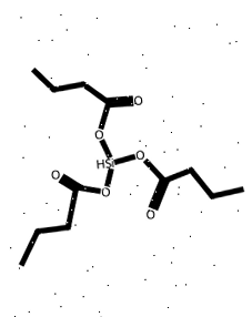 CCCC(=O)O[SiH](OC(=O)CCC)OC(=O)CCC